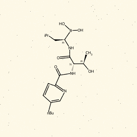 CCCCc1ccc(C(=O)N[C@H](C(=O)N[C@@H](CC(C)C)B(O)O)[C@@H](C)O)nc1